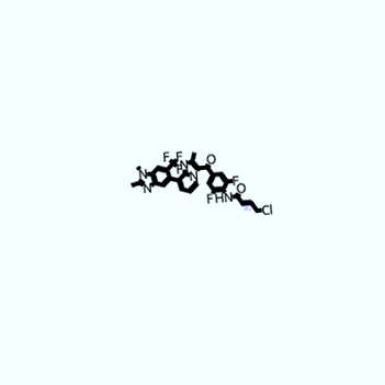 Cc1nc2c(-c3cc4nc(C)n(C)c4cc3C(F)(F)F)cccn2c1C(=O)c1cc(F)c(NC(=O)/C=C/CCl)c(F)c1